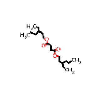 CCCC(CC)CCOC(=O)/C=C/C(=O)OCCC(CC)CCC